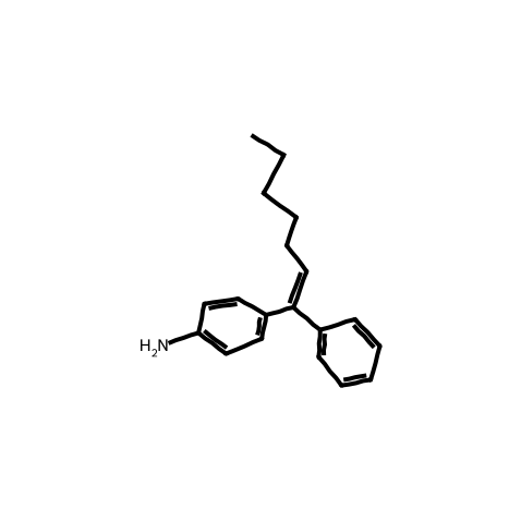 CCCCC/C=C(/c1ccccc1)c1ccc(N)cc1